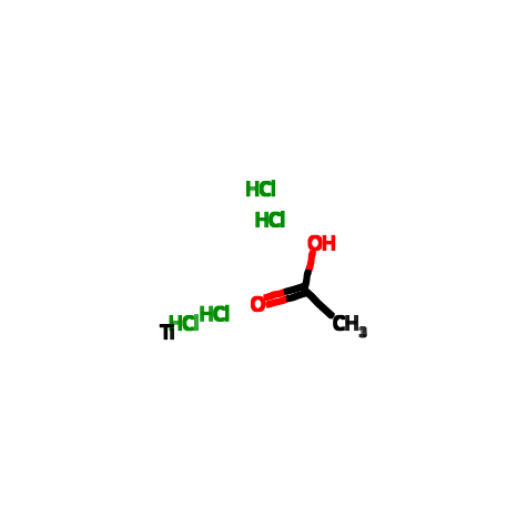 CC(=O)O.Cl.Cl.Cl.Cl.[Ti]